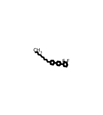 CCCCCCCCCCc1ccc(-c2ccc(-c3cccc(F)c3F)cc2)cc1